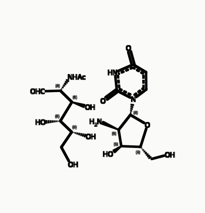 CC(=O)N[C@@H](C=O)[C@@H](O)[C@@H](O)[C@H](O)CO.N[C@@H]1[C@H](O)[C@@H](CO)O[C@H]1n1ccc(=O)[nH]c1=O